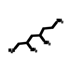 BCC(N)CC(N)CCN